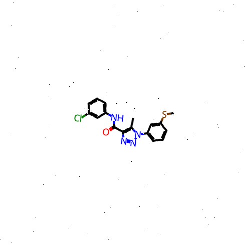 CSc1cccc(-n2nnc(C(=O)Nc3cccc(Cl)c3)c2C)c1